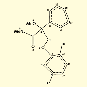 CNC(=O)C(COc1cc(C)ccc1C)(OC)c1ccccc1